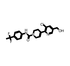 CC(F)(F)c1ccc(NC(=O)N2CC=C(c3ncc(CO)cc3Cl)CC2)cc1